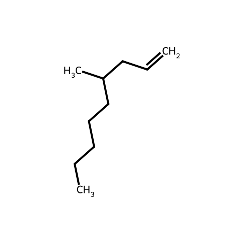 C=CCC(C)CCCCC